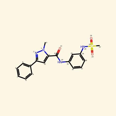 Cn1nc(-c2ccccc2)cc1C(=O)Nc1cccc(NS(C)(=O)=O)c1